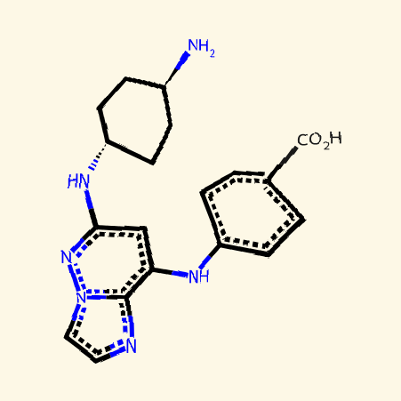 N[C@H]1CC[C@H](Nc2cc(Nc3ccc(C(=O)O)cc3)c3nccn3n2)CC1